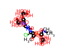 CCCN(C)C(=O)c1ccc(O[C@@H]2O[C@H](C(=O)O)[C@@H](O)[C@H](O)[C@H]2O)c(OS(=O)(=O)Oc2cc3c(c4cc(OC)ccc24)[C@H](CCl)CN3C(=O)c2cn3cc(NC(=O)c4ccc(O[C@@H]5O[C@H](C(=O)O)[C@@H](O)[C@H](O)[C@H]5O)cc4O[C@@H]4O[C@H](C(=O)O)[C@@H](O)[C@H](O)[C@H]4O)ccc3n2)c1